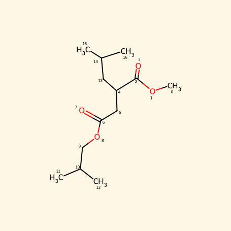 COC(=O)C(CC(=O)OCC(C)C)CC(C)C